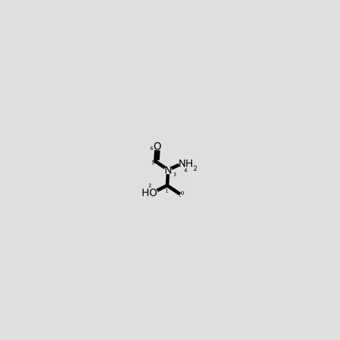 [CH2]C(O)N(N)C=O